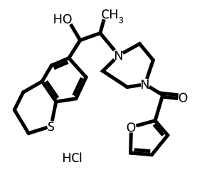 CC(C(O)c1ccc2c(c1)CCCS2)N1CCN(C(=O)c2ccco2)CC1.Cl